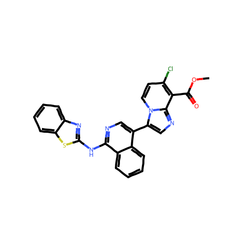 COC(=O)c1c(Cl)ccn2c(-c3cnc(Nc4nc5ccccc5s4)c4ccccc34)cnc12